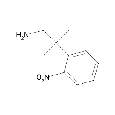 CC(C)(CN)c1ccccc1[N+](=O)[O-]